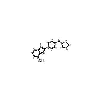 Cc1cccc2[nH]c(-c3ccc(CN4CCCC4)cc3)nc12